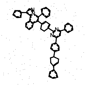 C1=C(c2ccccc2)CCC(c2ccc(-c3cc(-c4ccccc4)nc(C4=CC=C(c5c(-c6ccccc6)n6ncc(-c7ccccc7)c6c6ccccc56)CC4)n3)cc2)C1